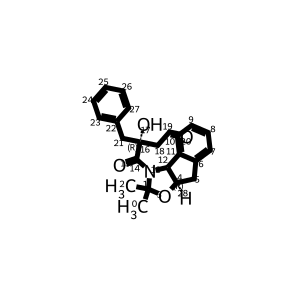 CC1(C)O[C@@H]2Cc3ccccc3C2N1C(=O)[C@](O)(CC=O)Cc1ccccc1